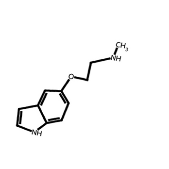 CNCCOc1ccc2[nH]ccc2c1